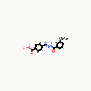 COc1cccc(C(=O)N/N=C/c2ccc(C(=O)NO)cc2)c1